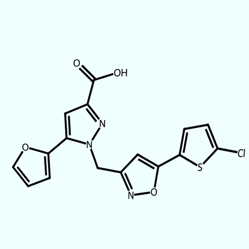 O=C(O)c1cc(-c2ccco2)n(Cc2cc(-c3ccc(Cl)s3)on2)n1